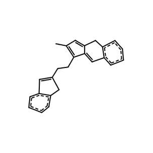 CC1=C(CCC2=Cc3ccccc3C2)C2=Cc3ccccc3CC2=C1